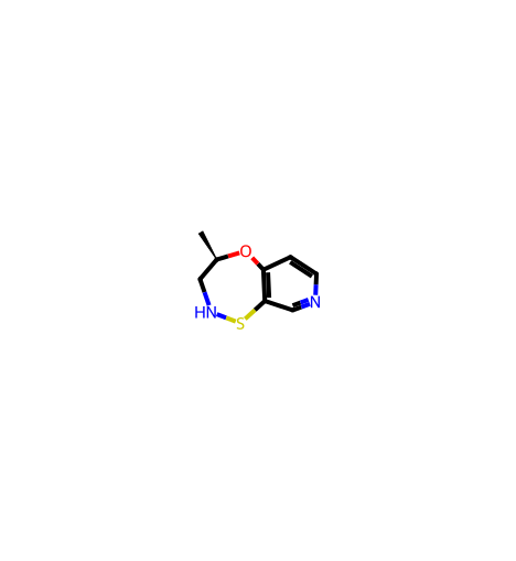 C[C@@H]1CNSc2cnccc2O1